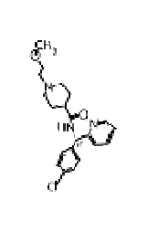 COCCN1CCC(C(=O)N[C@@H](c2ccc(Cl)cc2)c2ccccn2)CC1